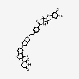 CC1(C)[C@H](NC(=O)c2ccc(CCN3CC4CN(c5ccc6nnn(C7CCC(=O)NC7=O)c(=O)c6c5)CC4C3)cc2)C(C)(C)[C@H]1Oc1ccc(C#N)c(Cl)c1